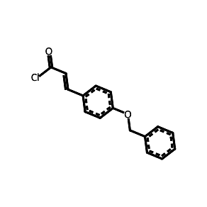 O=C(Cl)C=Cc1ccc(OCc2ccccc2)cc1